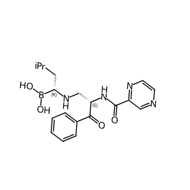 CC(C)C[C@H](NC[C@H](NC(=O)c1cnccn1)C(=O)c1ccccc1)B(O)O